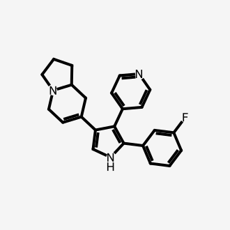 Fc1cccc(-c2[nH]cc(C3=CCN4CCCC4C3)c2-c2ccncc2)c1